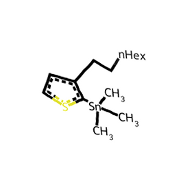 CCCCCCCCc1ccs[c]1[Sn]([CH3])([CH3])[CH3]